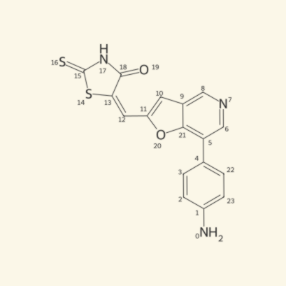 Nc1ccc(-c2cncc3cc(/C=C4/SC(=S)NC4=O)oc23)cc1